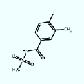 Cc1cc(C(=O)NS(C)(=O)=O)ccc1I